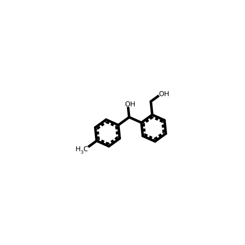 Cc1ccc(C(O)c2ccccc2CO)cc1